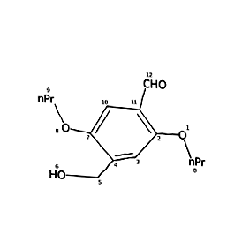 CCCOc1cc(CO)c(OCCC)cc1C=O